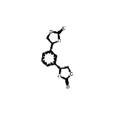 O=C1OCC(c2cccc(C3COC(=O)O3)c2)O1